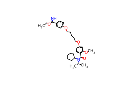 CCOC(=N)c1ccc(OCCCCCOc2ccc(C(=O)N(C(C)C)C3CCCCC3)c(OC)c2)cc1